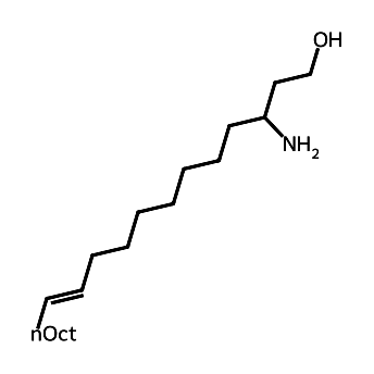 CCCCCCCCC=CCCCCCCCC(N)CCO